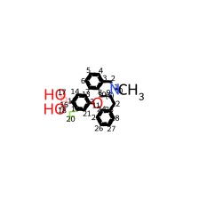 CN(Cc1ccccc1)[C@H](COc1ccc(B(O)O)c(F)c1)Cc1ccccc1